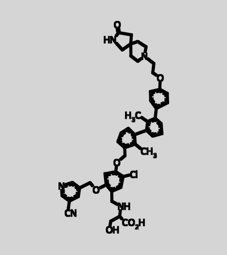 Cc1c(COc2cc(OCc3cncc(C#N)c3)c(CNC(CO)C(=O)O)cc2Cl)cccc1-c1cccc(-c2ccc(OCCN3CCC4(CC3)CNC(=O)C4)cc2)c1C